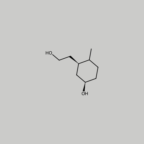 CC1CC[C@@H](O)C[C@H]1CCO